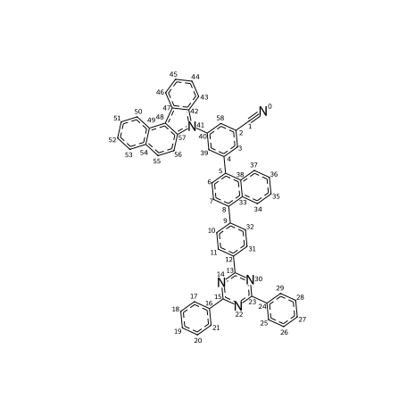 N#Cc1cc(-c2ccc(-c3ccc(-c4nc(-c5ccccc5)nc(-c5ccccc5)n4)cc3)c3ccccc23)cc(-n2c3ccccc3c3c4ccccc4ccc32)c1